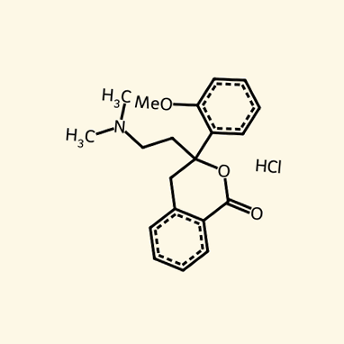 COc1ccccc1C1(CCN(C)C)Cc2ccccc2C(=O)O1.Cl